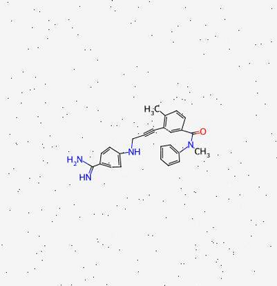 Cc1ccc(C(=O)N(C)c2ccccc2)cc1C#CCNc1ccc(C(=N)N)cc1